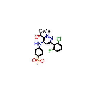 COC(=O)c1nnc(-c2c(F)cccc2Cl)cc1Nc1ccc(S(C)(=O)=O)cc1